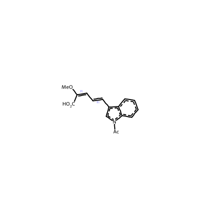 CO/C(=C/C=C/c1cn(C(C)=O)c2ccccc12)C(=O)O